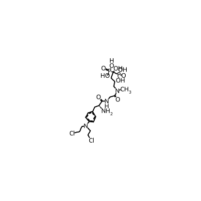 CN(CCCC(O)(P(=O)(O)O)P(=O)(O)O)C(=O)CNC(=O)[C@@H](N)Cc1ccc(N(CCCl)CCCl)cc1